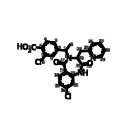 CC(c1ccc(C(=O)O)c(Cl)c1)N1C(=O)c2ccc(Cl)cc2NC(=O)C1Cc1ccccn1